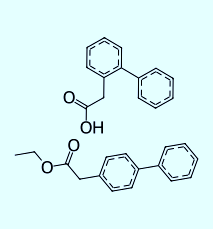 CCOC(=O)Cc1ccc(-c2ccccc2)cc1.O=C(O)Cc1ccccc1-c1ccccc1